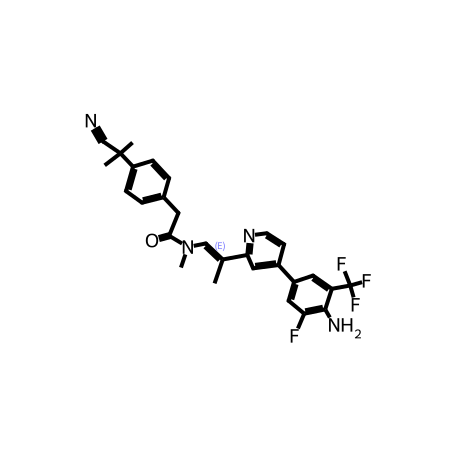 C/C(=C\N(C)C(=O)Cc1ccc(C(C)(C)C#N)cc1)c1cc(-c2cc(F)c(N)c(C(F)(F)F)c2)ccn1